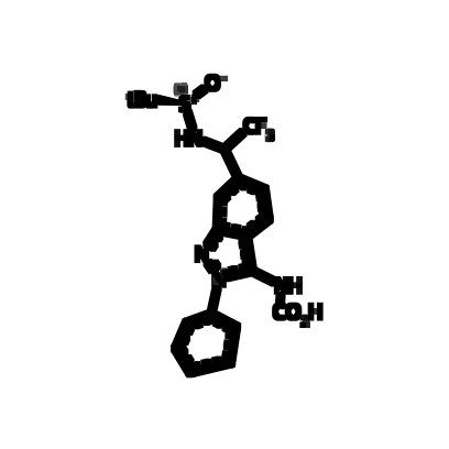 CC(C)(C)[S@@+]([O-])NC(c1ccc2c(NC(=O)O)n(-c3ccccc3)nc2c1)C(F)(F)F